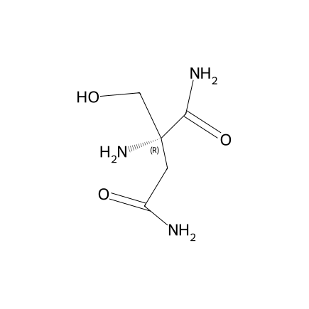 NC(=O)C[C@@](N)(CO)C(N)=O